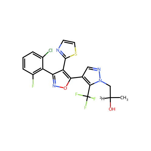 [2H]C(C)(O)Cn1ncc(-c2onc(-c3c(F)cccc3Cl)c2-c2nccs2)c1C(F)(F)F